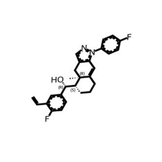 C=Cc1cc([C@H](O)[C@H]2CCCC3=Cc4c(cnn4-c4ccc(F)cc4)C[C@@]32C)ccc1F